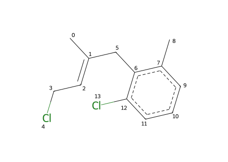 CC(=CCCl)Cc1c(C)cccc1Cl